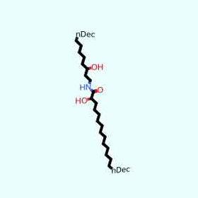 CCCCCCCCCCCCCCCCCCCCCCC(O)C(=O)NCCC(O)CCCCCCCCCCCCCCC